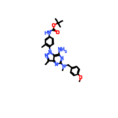 COc1ccc(CN(C)c2nc(N)c3c(n2)c(C)nn3-c2ccc(NC(=O)OC(C)(C)C)cc2C)cc1